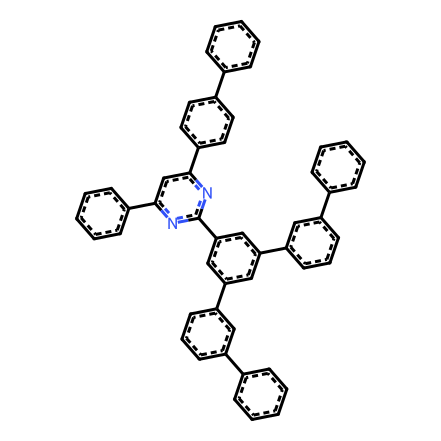 c1ccc(-c2ccc(-c3cc(-c4ccccc4)nc(-c4cc(-c5cccc(-c6ccccc6)c5)cc(-c5cccc(-c6ccccc6)c5)c4)n3)cc2)cc1